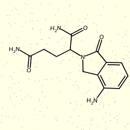 NC(=O)CCC(C(N)=O)N1Cc2c(N)cccc2C1=O